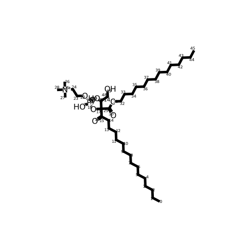 CCCCCCCCCCCCCCCC(=O)C(OP(=O)(O)OCC[N+](C)(C)C)(C(=O)[14CH2]CCCCCCCCCCCCCC)[C@@H](O)CO